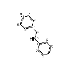 [c]1cccc(NCc2ccncc2)c1